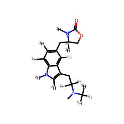 [2H]c1c(C[C@@]2([2H])COC(=O)N2[2H])c([2H])c2c(CC([2H])([2H])N(C)C([2H])([2H])[2H])c([2H])n([2H])c2c1[2H]